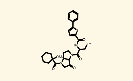 COC1(C(=O)N2CC(=O)C3C2CCN3C(=O)C(CC(C)C)NC(=O)c2ccc(-c3ccccc3)s2)CCCCC1